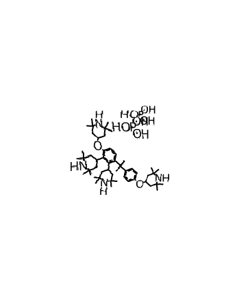 CC1(C)CC(Oc2ccc(C(C)(C)c3ccc(OC4CC(C)(C)NC(C)(C)C4)c(C4CC(C)(C)NC(C)(C)C4)c3C3CC(C)(C)NC(C)(C)C3)cc2)CC(C)(C)N1.OP(O)O.OP(O)O